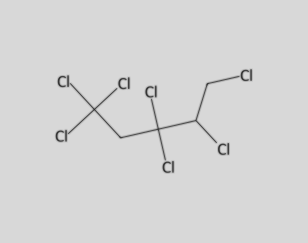 ClCC(Cl)C(Cl)(Cl)CC(Cl)(Cl)Cl